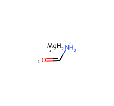 NC=O.[MgH2]